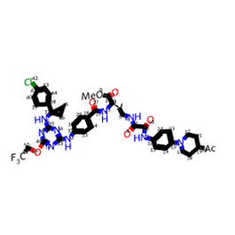 COC(=O)[C@H](CCNC(=O)C(=O)Nc1ccc(N2CCC(C(C)=O)CC2)cc1)NC(=O)c1ccc(Nc2nc(NC3(c4ccc(Cl)cc4)CC3)nc(OCC(F)(F)F)n2)cc1